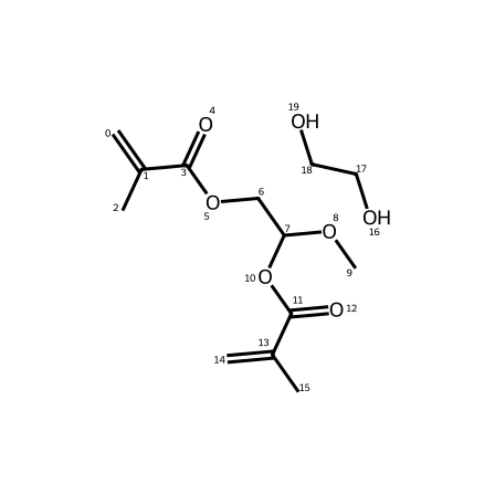 C=C(C)C(=O)OCC(OC)OC(=O)C(=C)C.OCCO